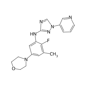 Cc1cc(N2CCOCC2)cc(Nc2ncn(-c3cccnc3)n2)c1F